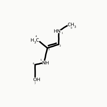 CN/C=C(\C)NCO